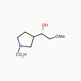 COC[C@@H](O)C1CCN(C(=O)O)C1